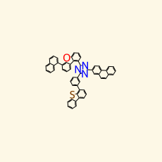 c1cc(-c2nc(-c3ccc4c(ccc5ccccc54)c3)nc(-c3cccc4oc5c(-c6cccc7ccccc67)cccc5c34)n2)cc(-c2cccc3c2sc2ccccc23)c1